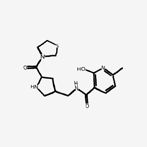 Cc1ccc(C(=O)NCC2CNC(C(=O)N3CCSC3)C2)c(O)n1